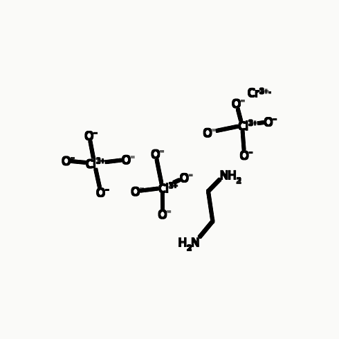 NCCN.[Cr+3].[O-][Cl+3]([O-])([O-])[O-].[O-][Cl+3]([O-])([O-])[O-].[O-][Cl+3]([O-])([O-])[O-]